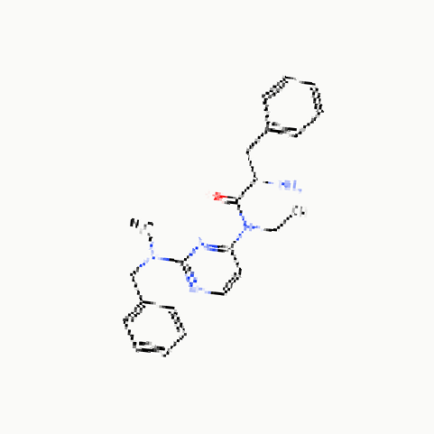 CN(Cc1ccccc1)c1nccc(N(CC#N)C(=O)[C@@H](N)Cc2ccccc2)n1